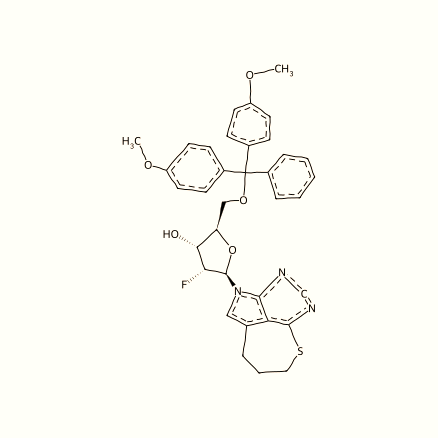 COc1ccc(C(OC[C@H]2O[C@@H](n3cc4c5c(ncnc53)SCCC4)[C@H](F)[C@@H]2O)(c2ccccc2)c2ccc(OC)cc2)cc1